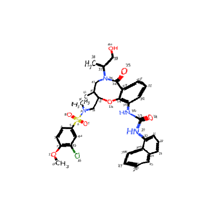 COc1ccc(S(=O)(=O)N(C)CC2Oc3c(NC(=O)Nc4cccc5ccccc45)cccc3C(=O)N(C(C)CO)CC2C)cc1Cl